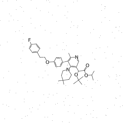 Cc1ncc(C(OC(C)(C)C)C(=O)OC(C)C)c(N2CCC(C)(C)CC2)c1-c1ccc(OCCc2ccc(F)cc2)cc1